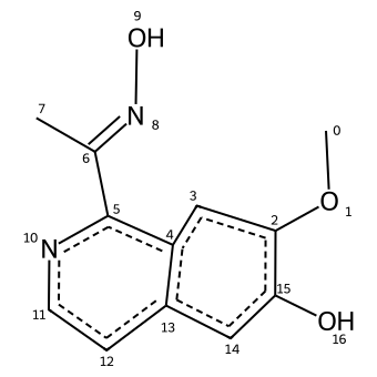 COc1cc2c(C(C)=NO)nccc2cc1O